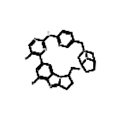 CN1C2CCC1CN(Cc1ccc(Nc3ncc(F)c(-c4cc(F)c5nc6n(c5c4)C(CF)CC6)n3)nc1)C2